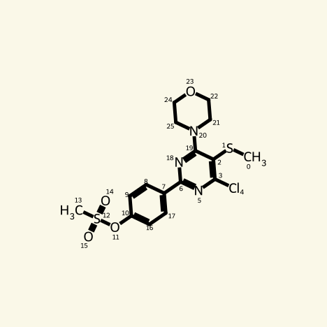 CSc1c(Cl)nc(-c2ccc(OS(C)(=O)=O)cc2)nc1N1CCOCC1